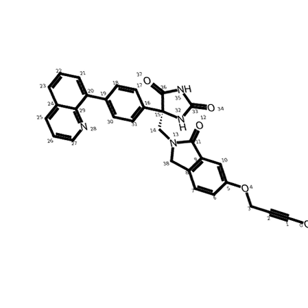 CC#CCOc1ccc2c(c1)C(=O)N(C[C@@]1(c3ccc(-c4cccc5cccnc45)cc3)NC(=O)NC1=O)C2